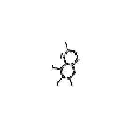 Cc1ccc2cc(C)c(I)c(I)c2n1